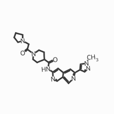 Cn1cc(-c2cc3cc(NC(=O)C4CCN(C(=O)CN5CCCC5)CC4)ncc3cn2)cn1